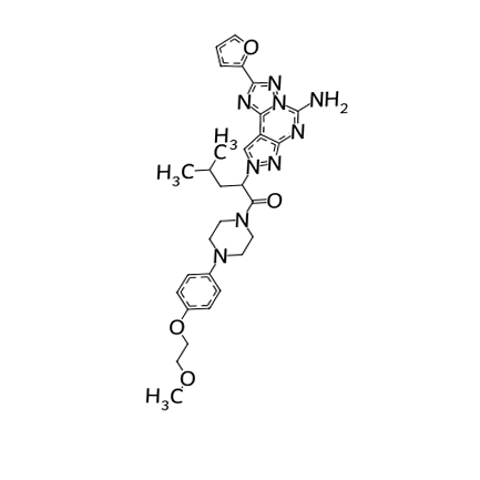 COCCOc1ccc(N2CCN(C(=O)C(CC(C)C)n3cc4c(nc(N)n5nc(-c6ccco6)nc45)n3)CC2)cc1